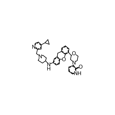 O=c1[nH]cccc1N1CCOC(c2cccc3c2Oc2ccc(NC4CCN(Cc5cc(C6CC6)ccn5)CC4)cc2C3)C1